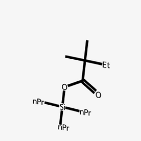 CCC[Si](CCC)(CCC)OC(=O)C(C)(C)CC